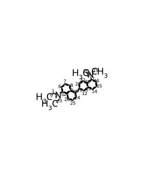 CCN(CC)c1cccc2c(-c3[c]c4cccc(N(C)C)c4cc3)cccc12